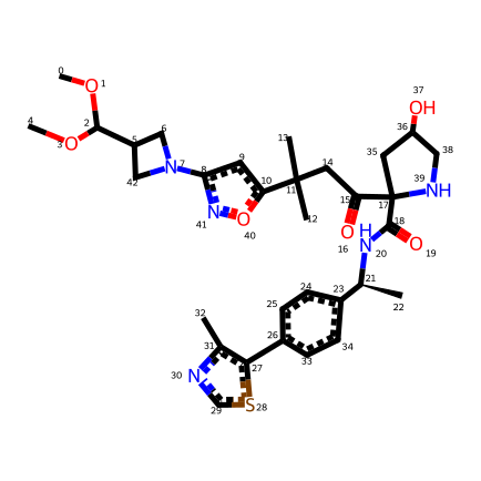 COC(OC)C1CN(c2cc(C(C)(C)CC(=O)C3(C(=O)N[C@@H](C)c4ccc(-c5scnc5C)cc4)CC(O)CN3)on2)C1